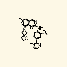 COc1cc(-c2nccn2C)ccc1Nc1ncc2cc(C)nc(N3CC4(CCO4)C3)c2n1